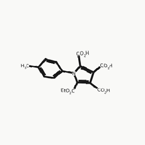 CCOC(=O)c1c(C(=O)O)c(C(=O)O)c(C(=O)O)n1-c1ccc(C)cc1